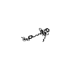 CCCCCCc1nn(CCCCCCc2cccc(OC(C)(C)C(=O)OCC)c2)c(=O)n(Cc2ccccc2)c1=O